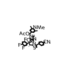 CNc1c(C)cc(C(OC(C)=O)[n+]2cnn(C[C@](O)(c3cc(F)c(F)cc3F)[C@@H](C)c3nc(-c4ccc(C#N)cc4)cs3)c2)cc1C